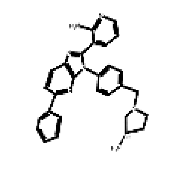 Nc1ncccc1-c1nc2ccc(-c3ccccc3)nc2n1-c1ccc(CN2CC[C@@H](N)C2)cc1